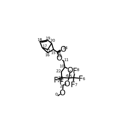 COCOC1(C(F)(F)F)OC(COC(=O)C2CC3C=CC2C3)CC1(F)F